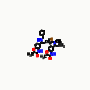 CCC(NCc1ccccc1)c1ccc2c(c1)NC(=O)C(C)O2.CCC(c1ccc2c(c1)NC(=O)C(C)O2)N(C)c1cccs1